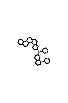 c1ccc(-c2cccc3ccc(N(c4ccccc4)c4ccc5c(ccc6ccc7c8ccccc8ccc7c65)c4)cc23)cc1